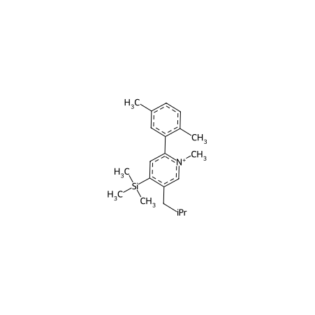 Cc1ccc(C)c(-c2cc([Si](C)(C)C)c(CC(C)C)c[n+]2C)c1